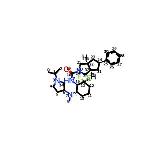 CC(C)N1CC[C@H](N(C)[C@H]2CCCC(F)(F)[C@@H]2NC(=O)N2C[C@H]3C[C@@H](c4ccccc4)C[C@H]3C2)C1